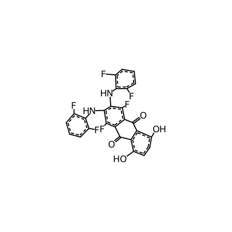 O=C1c2c(O)ccc(O)c2C(=O)c2c(F)c(Nc3c(F)cccc3F)c(Nc3c(F)cccc3F)c(F)c21